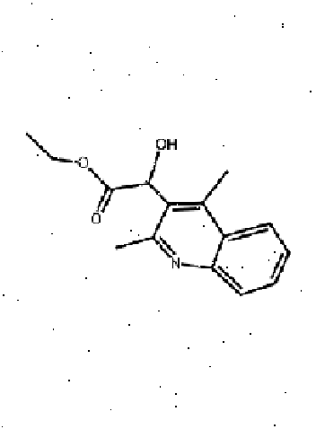 CCOC(=O)C(O)c1c(C)nc2ccccc2c1C